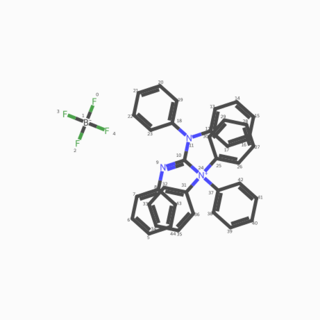 F[B-](F)(F)F.c1ccc(N=C(N(c2ccccc2)c2ccccc2)[N+](c2ccccc2)(c2ccccc2)c2ccccc2)cc1